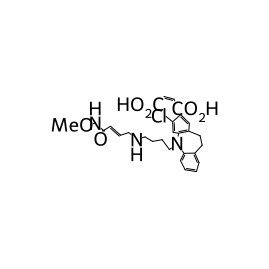 CONC(=O)/C=C/CNCCCCN1c2ccccc2CCc2ccc(Cl)cc21.O=C(O)/C=C\C(=O)O